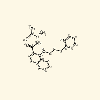 C[C@H](NC(=O)c1ccc2ccccc2c1OCCCc1ccccn1)C(=O)O